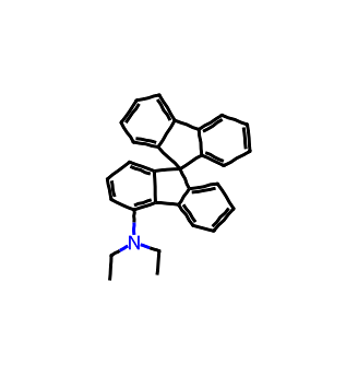 CCN(CC)c1cccc2c1-c1ccccc1C21c2ccccc2-c2ccccc21